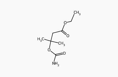 CCOC(=O)CC(C)(C)OC(N)=O